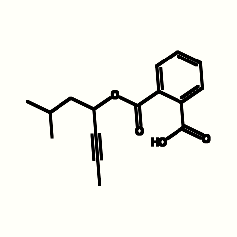 CC#CC(CC(C)C)OC(=O)c1ccccc1C(=O)O